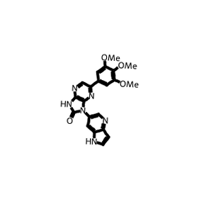 COc1cc(-c2cnc3[nH]c(=O)n(-c4cnc5cc[nH]c5c4)c3n2)cc(OC)c1OC